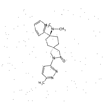 Cc1ccc(N2C[C@]3(CC[C@](c4ccccc4)(N(C)C)CC3)CC2=O)nn1